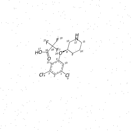 Clc1cc(Cl)cc(O[C@@H]2CCCNC2)c1.O=C(O)C(F)(F)F